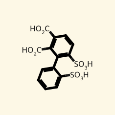 O=C(O)c1ccc(S(=O)(=O)O)c(-c2ccccc2S(=O)(=O)O)c1C(=O)O